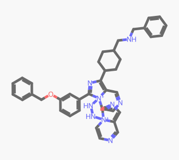 C1=C[N+]2(NN[N+]34C=CN=CC3=C(C3CCC(CNCc5ccccc5)CC3)N=C4c3cccc(OCc4ccccc4)c3)C=NC=C2C=N1